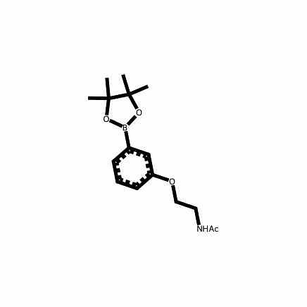 CC(=O)NCCOc1cccc(B2OC(C)(C)C(C)(C)O2)c1